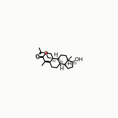 CC(=O)OC[C@]12CCC(=O)C(C)=C1CC[C@@H]1[C@@H]2CC[C@]2(C)[C@@H](O)CC[C@@H]12